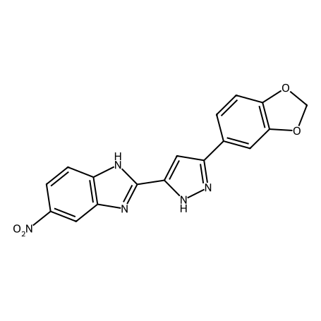 O=[N+]([O-])c1ccc2[nH]c(-c3cc(-c4ccc5c(c4)OCO5)n[nH]3)nc2c1